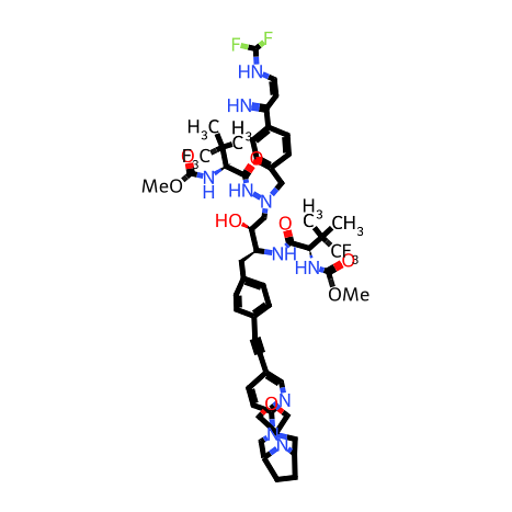 COC(=O)N[C@H](C(=O)N[C@@H](Cc1ccc(C#Cc2ccc(N3CC4CCC(C3)N4C3COC3)nc2)cc1)[C@@H](O)CN(Cc1ccc(C(=N)/C=C\NC(F)F)cc1)NC(=O)[C@@H](NC(=O)OC)C(C)(C)C(F)(F)F)C(C)(C)C(F)(F)F